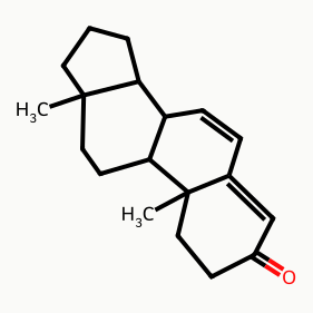 CC12CCCC1C1C=CC3=CC(=O)CCC3(C)C1CC2